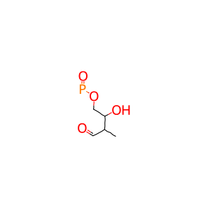 CC(C=O)C(O)COP=O